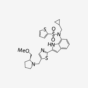 COC[C@@H]1CCCN1Cc1cnc(-c2cc3cccc(N(CC4CC4)S(=O)(=O)c4cccs4)c3[nH]2)s1